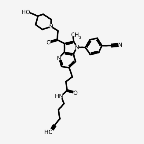 C#CCCCNC(=O)CCc1cnc2c(C(=O)CN3CCC(O)CC3)c(C)n(-c3ccc(C#N)cc3)c2c1